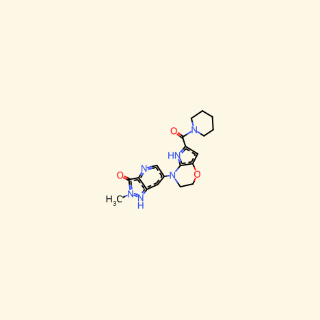 Cn1[nH]c2cc(N3CCOc4cc(C(=O)N5CCCCC5)[nH]c43)cnc2c1=O